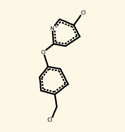 ClCc1ccc(Oc2ccc(Cl)cn2)cc1